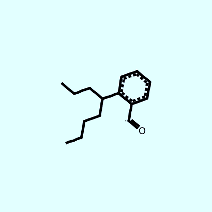 CCCCC(CCC)c1ccccc1[C]=O